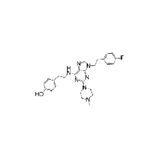 CN1CCN(c2nc(NCCc3ccc(O)cc3)c3ncn(CCc4ccc(F)cc4)c3n2)CC1